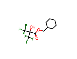 O=C(OCC1CCCCC1)C(O)(C(F)(F)F)C(F)(F)F